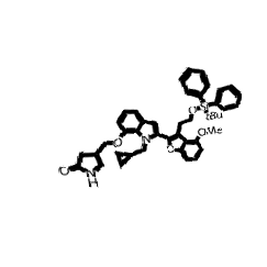 COc1cccc2oc(-c3cc4cccc(OCC5CNC(=O)C5)c4n3CC3CC3)c(CCO[Si](c3ccccc3)(c3ccccc3)C(C)(C)C)c12